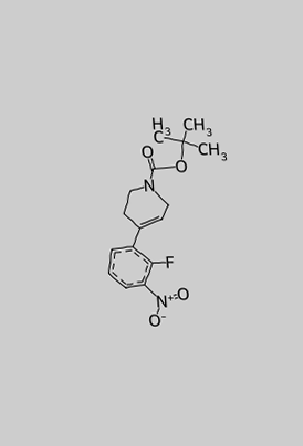 CC(C)(C)OC(=O)N1CC=C(c2cccc([N+](=O)[O-])c2F)CC1